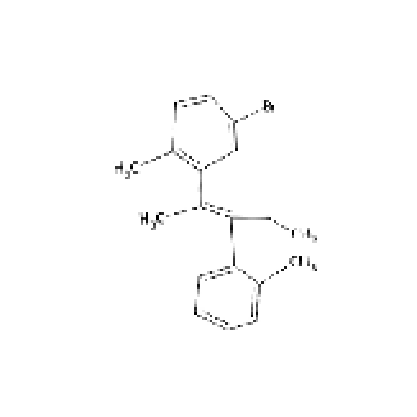 CC/C(=C(/C)c1cc(Br)ccc1C)c1ccccc1C